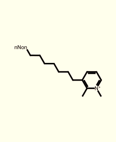 CCCCCCCCCCCCCCCCc1ccc[n+](C)c1C